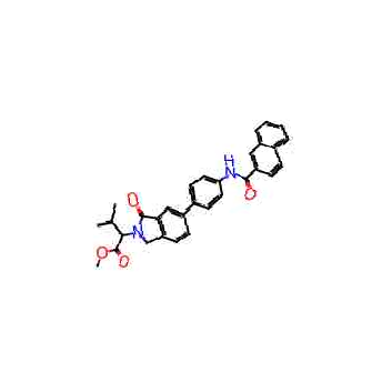 COC(=O)C(C(C)C)N1Cc2ccc(-c3ccc(NC(=O)c4ccc5ccccc5c4)cc3)cc2C1=O